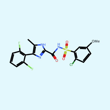 COc1ccc(Cl)c(S(=O)(=O)NC(=O)c2nc(-c3c(F)cccc3F)c(C)[nH]2)c1